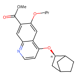 COC(=O)c1cc2nccc(O[C@@H]3CC4CCC3C4)c2cc1OC(C)C